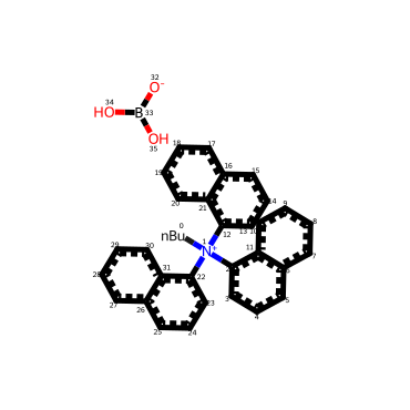 CCCC[N+](c1cccc2ccccc12)(c1cccc2ccccc12)c1cccc2ccccc12.[O-]B(O)O